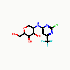 OCC1OCC(Nc2cc(C(F)(F)F)nc(Cl)n2)C(O)C1O